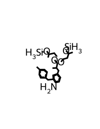 Cc1ccc(Cc2cc(CC(C)C(OCCC(C)O[SiH3])OCCC(C)O[SiH3])ccc2N)cc1